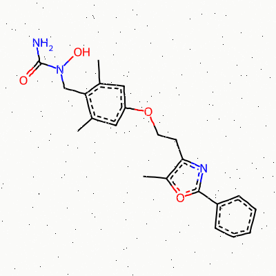 Cc1cc(OCCc2nc(-c3ccccc3)oc2C)cc(C)c1CN(O)C(N)=O